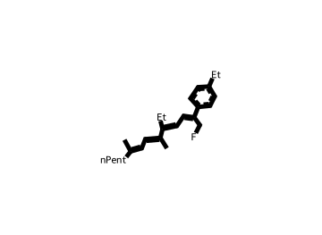 CCCCC/C(C)=C/C=C(C)/C(=C/C=C(\CF)c1ccc(CC)cc1)CC